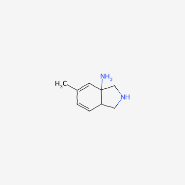 CC1=CC2(N)CNCC2C=C1